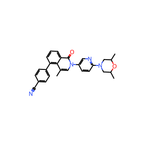 Cc1cn(-c2ccc(N3CC(C)OC(C)C3)nc2)c(=O)c2cccc(-c3ccc(C#N)cc3)c12